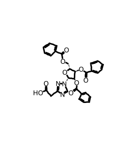 O=C(O)Cc1ncn([C@@H]2O[C@H](COC(=O)c3ccccc3)[C@@H](OC(=O)c3ccccc3)[C@H]2OC(=O)c2ccccc2)n1